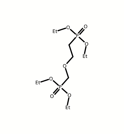 CCOP(=O)(CCOCP(=O)(OCC)OCC)OCC